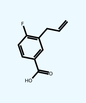 C=CCc1cc(C(=O)O)ccc1F